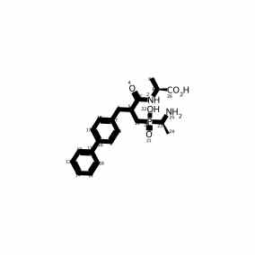 C[C@H](NC(=O)C(Cc1ccc(-c2ccccc2)cc1)CP(=O)(O)[C@H](C)N)C(=O)O